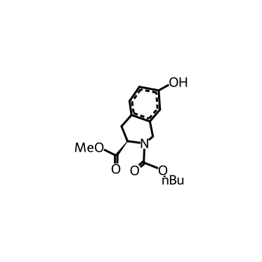 CCCCOC(=O)N1Cc2cc(O)ccc2C[C@@H]1C(=O)OC